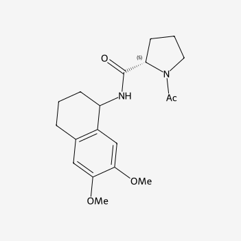 COc1cc2c(cc1OC)C(NC(=O)[C@@H]1CCCN1C(C)=O)CCC2